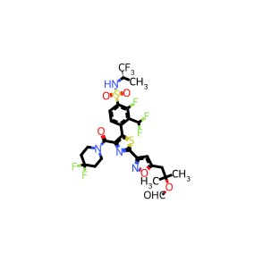 C[C@H](NS(=O)(=O)c1ccc(-c2sc(-c3cc(CC(C)(C)OC=O)on3)nc2C(=O)N2CCC(F)(F)CC2)c(C(F)F)c1F)C(F)(F)F